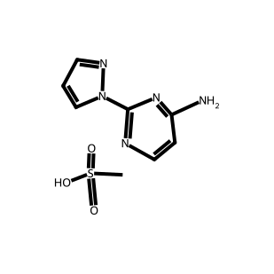 CS(=O)(=O)O.Nc1ccnc(-n2cccn2)n1